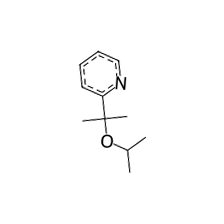 CC(C)OC(C)(C)c1ccccn1